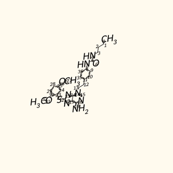 CCCCNC(=O)Nc1ccc(CCn2cnc(N)c3nc(Sc4cc(OC)ccc4OC)nc2-3)cc1